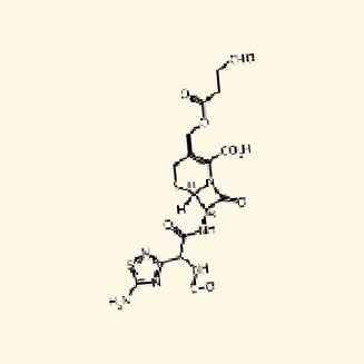 Nc1nc(C(NC=O)C(=O)N[C@@H]2C(=O)N3C(C(=O)O)=C(COC(=O)CCC=O)CS[C@@H]23)ns1